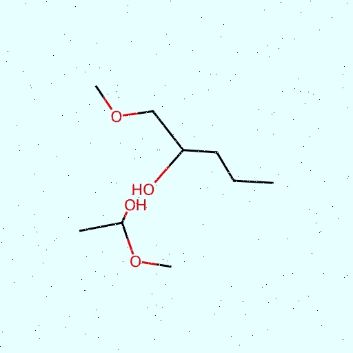 CCCC(O)COC.COC(C)O